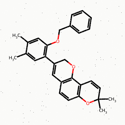 Cc1cc(OCc2ccccc2)c(C2=Cc3ccc4c(c3OC2)C=CC(C)(C)O4)cc1C